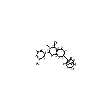 Cn1c(-c2cccc(Cl)c2)nc2cc(N3CCN4CCC3CC4)ccc2c1=O